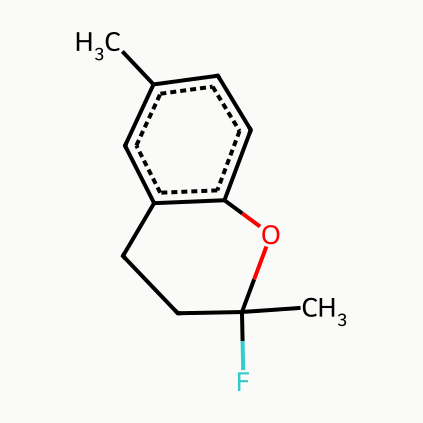 Cc1ccc2c(c1)CCC(C)(F)O2